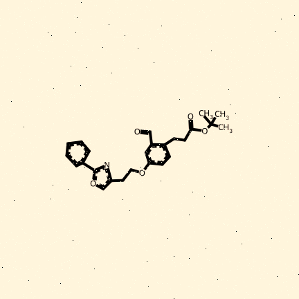 CC(C)(C)OC(=O)CCc1ccc(OCCc2coc(-c3ccccc3)n2)cc1C=O